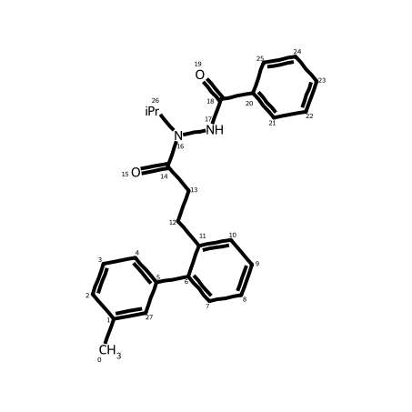 Cc1cccc(-c2ccccc2CCC(=O)N(NC(=O)c2ccccc2)C(C)C)c1